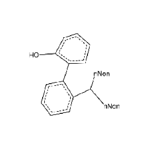 CCCCCCCCCC(CCCCCCCCC)c1ccccc1-c1ccccc1O